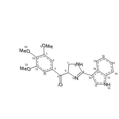 COc1cc(C(=O)C2CNC(c3c[nH]c4ccccc34)=N2)cc(OC)c1OC